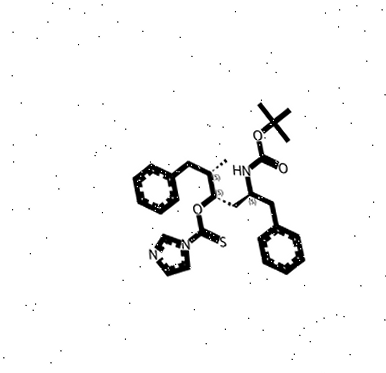 C[C@@H](Cc1ccccc1)[C@H](C[C@H](Cc1ccccc1)NC(=O)OC(C)(C)C)OC(=S)n1ccnc1